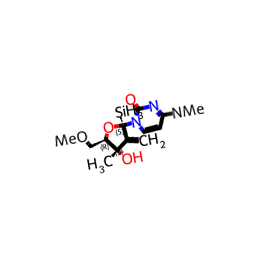 C=C1[C@](C)(O)[C@@H](COC)O[C@@]1([SiH3])n1ccc(NC)nc1=O